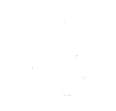 COc1cc([N+](=O)[O-])c(CCCC(=O)O)c([N+](=O)[O-])c1O